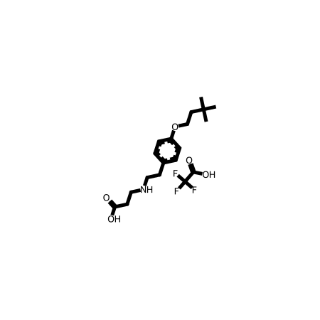 CC(C)(C)CCOc1ccc(CCNCCC(=O)O)cc1.O=C(O)C(F)(F)F